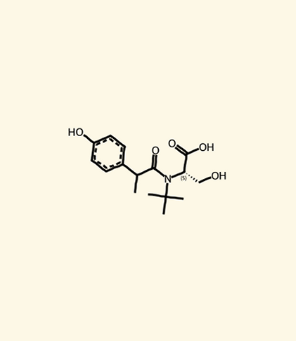 CC(C(=O)N([C@@H](CO)C(=O)O)C(C)(C)C)c1ccc(O)cc1